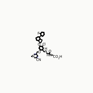 C=N/C=C(\C=C(/C)C#N)COc1cc(O[C@H]2CCc3c(-c4ccccc4F)cccc32)c(Cl)cc1CNCC(=O)NCC(=O)O